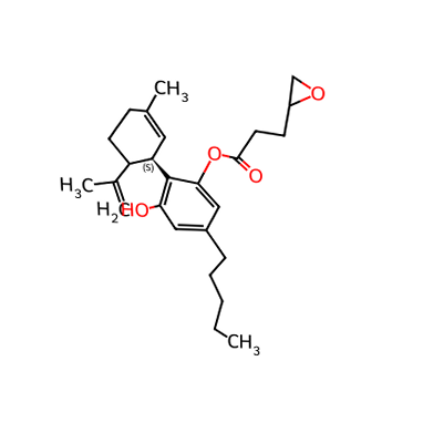 C=C(C)C1CCC(C)=C[C@H]1c1c(O)cc(CCCCC)cc1OC(=O)CCC1CO1